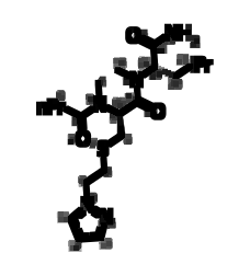 CCCC(=O)N(C)[C@H](CSCCn1cccn1)C(=O)N(C)[C@@H](CC(C)C)C(N)=O